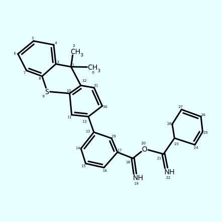 CC1(C)c2ccccc2Sc2cc(-c3cccc(C(=N)OC(=N)C4C=CC=CC4)c3)ccc21